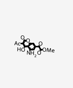 COC(=O)C(=O)c1cc(N)c2c(O)c(C(C)=O)c(=O)oc2c1